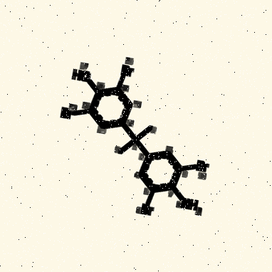 CC(C)(c1cc(Br)c(N)c(Br)c1)c1cc(Br)c(O)c(Br)c1